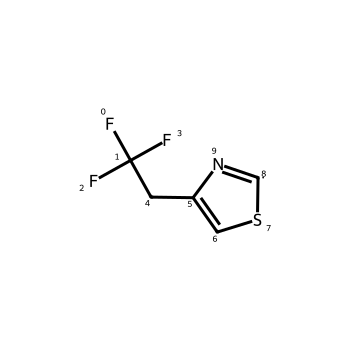 FC(F)(F)Cc1cs[c]n1